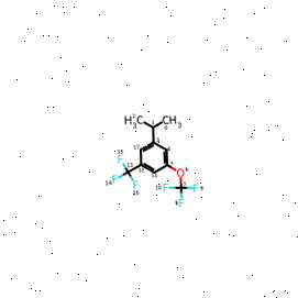 CC(C)c1cc(OC(F)(F)F)cc(C(F)(F)F)c1